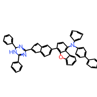 c1ccc(C2=NC(c3ccc4cc(-c5ccc(N(c6ccccc6)c6ccc(-c7ccccc7)cc6)c6c5oc5ccccc56)ccc4c3)=NC(c3ccccc3)N2)cc1